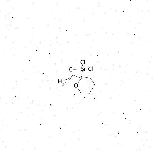 C=CC1([Si](Cl)(Cl)Cl)CCCCO1